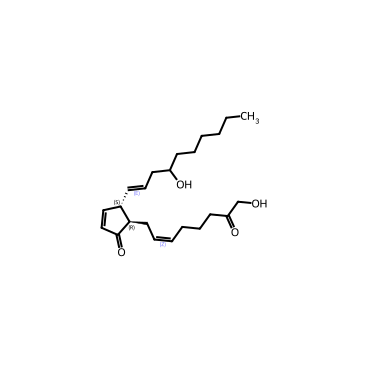 CCCCCCC(O)C/C=C/[C@H]1C=CC(=O)[C@@H]1C/C=C\CCCC(=O)CO